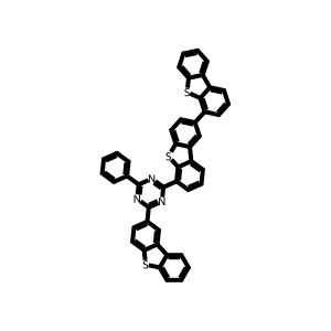 c1ccc(-c2nc(-c3ccc4sc5ccccc5c4c3)nc(-c3cccc4c3sc3ccc(-c5cccc6c5sc5ccccc56)cc34)n2)cc1